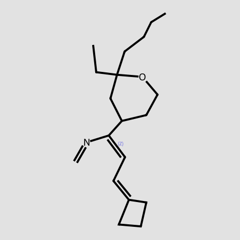 C=N/C(=C\C=C1CCC1)C1CCOC(CC)(CCCC)C1